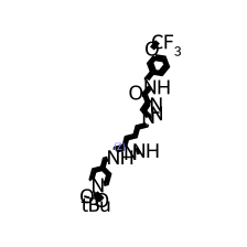 CC(C)(C)OC(=O)N1CCC(CN/C=C(/CCCCn2cc(C(=O)NCc3cccc(OC(F)(F)F)c3)nn2)N=N)CC1